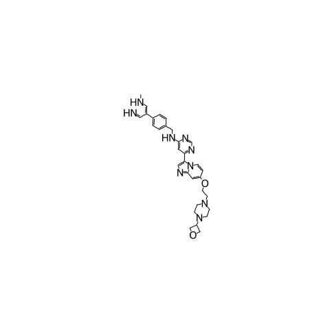 CN/C=C(\C=N)c1ccc(CNc2cc(-c3cnc4cc(OCCN5CCN(C6COC6)CC5)ccn34)ncn2)cc1